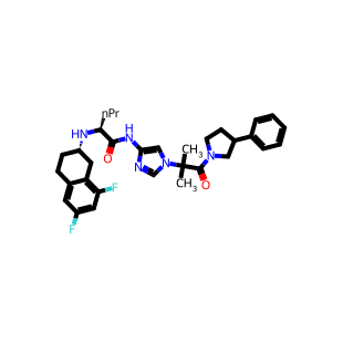 CCC[C@H](N[C@H]1CCc2cc(F)cc(F)c2C1)C(=O)Nc1cn(C(C)(C)C(=O)N2CCC(c3ccccc3)C2)cn1